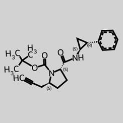 C#CC[C@@H]1CC[C@@H](C(=O)N[C@H]2C[C@@H]2c2ccccc2)N1C(=O)OC(C)(C)C